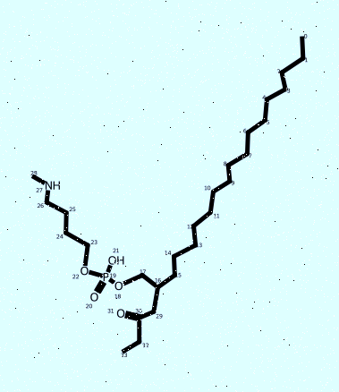 CCCCCCCCCCCCCCCCC(COP(=O)(O)OCCCCNC)CC(=O)CC